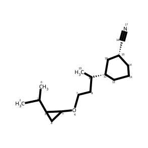 CC(C)C1CC1OCCC(C)[C@H]1CCC[C@@H](C#N)C1